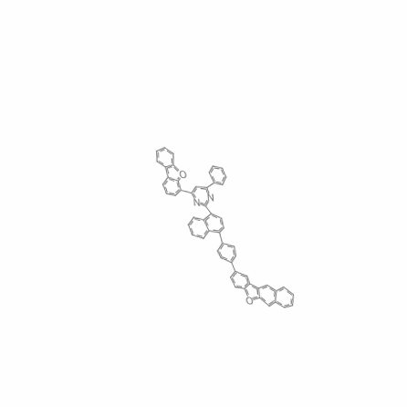 c1ccc(-c2cc(-c3cccc4c3oc3ccccc34)nc(-c3ccc(-c4ccc(-c5ccc6oc7cc8ccccc8cc7c6c5)cc4)c4ccccc34)n2)cc1